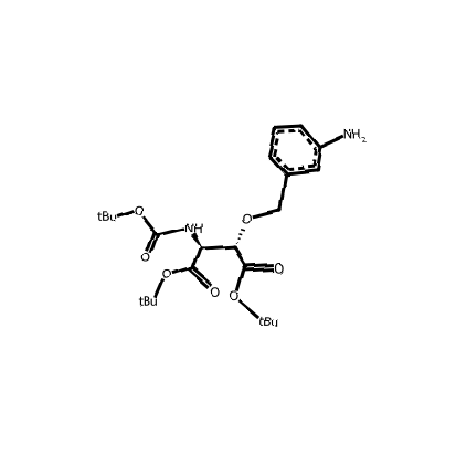 CC(C)(C)OC(=O)N[C@H](C(=O)OC(C)(C)C)[C@H](OCc1cccc(N)c1)C(=O)OC(C)(C)C